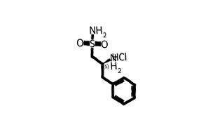 Cl.N[C@@H](Cc1ccccc1)CS(N)(=O)=O